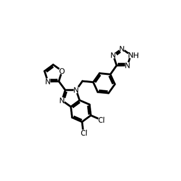 Clc1cc2nc(-c3ncco3)n(Cc3cccc(-c4nn[nH]n4)c3)c2cc1Cl